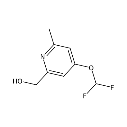 Cc1cc(OC(F)F)cc(CO)n1